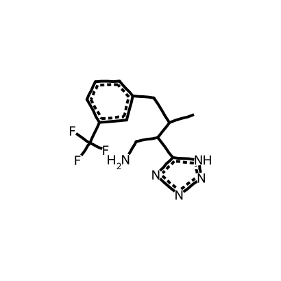 CC(Cc1cccc(C(F)(F)F)c1)C(CN)c1nnn[nH]1